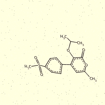 Cc1cc(-c2ccc(S(C)(=O)=O)cc2)c(OC(C)C)c(=O)o1